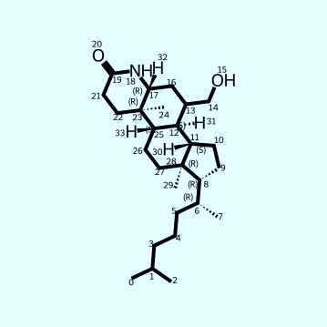 CC(C)CCC[C@@H](C)[C@H]1CC[C@H]2[C@@H]3C(CO)C[C@H]4NC(=O)CC[C@]4(C)[C@H]3CC[C@]12C